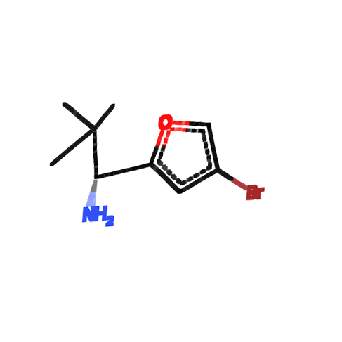 CC(C)(C)[C@@H](N)c1cc(Br)co1